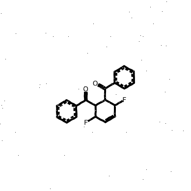 O=C(c1ccccc1)C1C(F)C=CC(F)C1C(=O)c1ccccc1